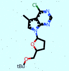 Cc1cn(C2CCC(COC(C)(C)C)O2)c2ncnc(Cl)c12